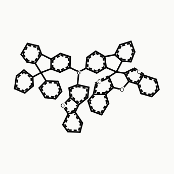 c1ccc(C2(c3ccccc3)c3ccccc3-c3ccc(N(c4ccc5c(c4)C4(c6ccccc6-5)c5ccc6ccccc6c5Oc5c4ccc4ccccc54)c4ccc5c(c4)oc4ccccc45)cc32)cc1